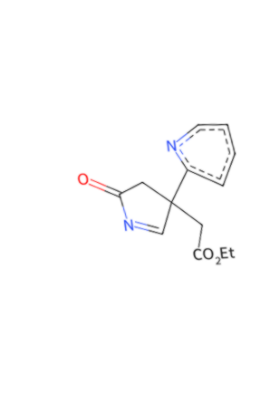 CCOC(=O)CC1(c2ccccn2)C=NC(=O)C1